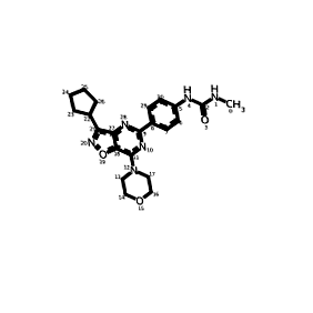 CNC(=O)Nc1ccc(-c2nc(N3CCOCC3)c3onc(C4CCCC4)c3n2)cc1